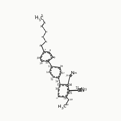 CCCCCCCc1ccc(-c2ccc(-c3ccc(CC)c(C#N)c3C#N)cc2)cc1